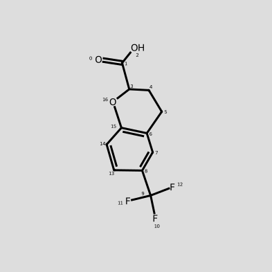 O=C(O)C1CCc2cc(C(F)(F)F)ccc2O1